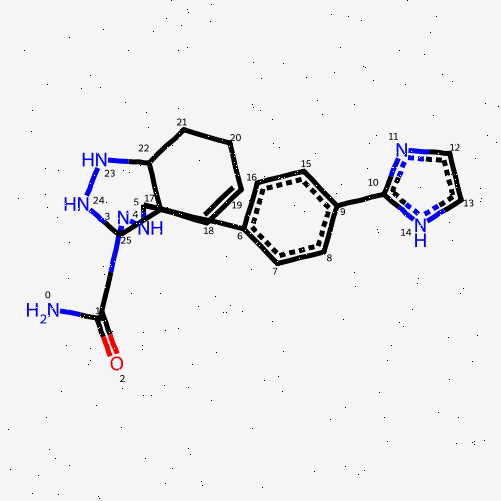 NC(=O)N1NC(c2ccc(-c3ncc[nH]3)cc2)C23C=CCCC2NNC13